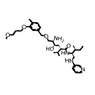 CC[C@H](C)[C@@H](CNc1cccnc1)NC(=O)[C@@H](C[C@H](O)[C@@H](N)COCc1ccc(C)c(OCCCOC)c1)C(C)C